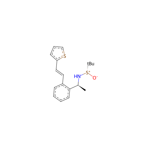 C[C@H](N[S@@+]([O-])C(C)(C)C)c1ccccc1/C=C/c1cccs1